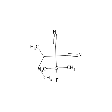 CCC(C)C(C#N)(C#N)S(C)(C)F